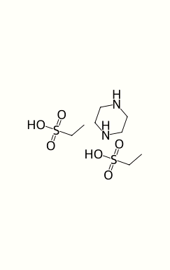 C1CNCCN1.CCS(=O)(=O)O.CCS(=O)(=O)O